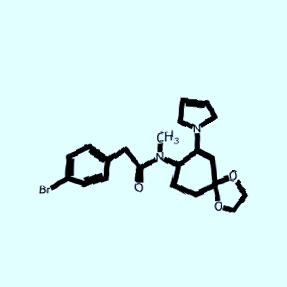 CN(C(=O)Cc1ccc(Br)cc1)C1CCC2(CC1N1CC=CC1)OCCO2